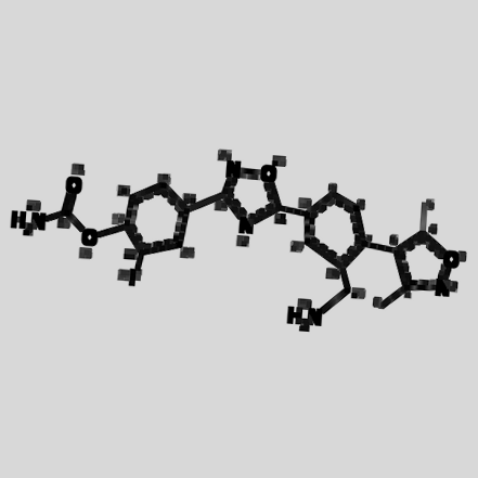 Cc1noc(C)c1-c1ccc(-c2nc(-c3ccc(OC(N)=O)c(F)c3)no2)cc1CN